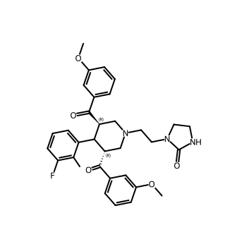 COc1cccc(C(=O)[C@H]2CN(CCN3CCNC3=O)C[C@H](C(=O)c3cccc(OC)c3)C2c2cccc(F)c2C)c1